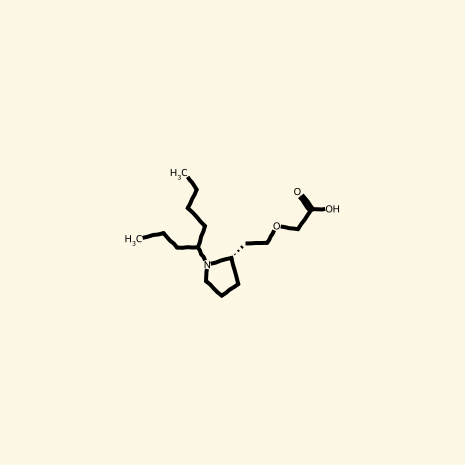 CCCCC(CCC)N1CCC[C@H]1CCOCC(=O)O